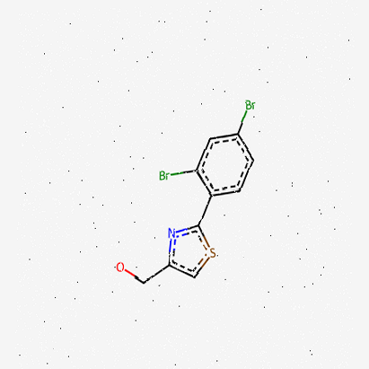 [O]Cc1csc(-c2ccc(Br)cc2Br)n1